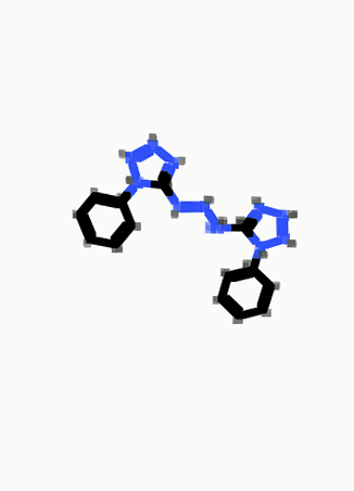 c1ccc(-n2nnnc2N=NNc2nnnn2-c2ccccc2)cc1